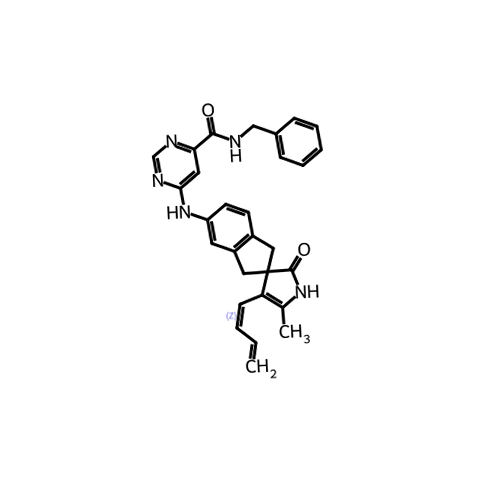 C=C/C=C\C1=C(C)NC(=O)C12Cc1ccc(Nc3cc(C(=O)NCc4ccccc4)ncn3)cc1C2